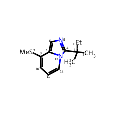 CCC(C)(C)c1ncc2c(SC)cccn12